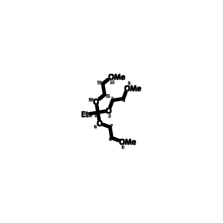 CCC(OCCOC)(OCCOC)OCCOC